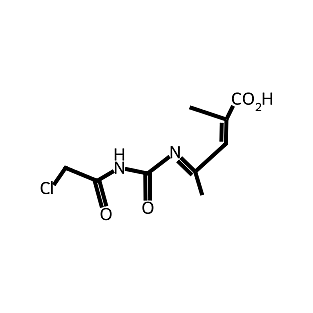 CC(=CC(C)=NC(=O)NC(=O)CCl)C(=O)O